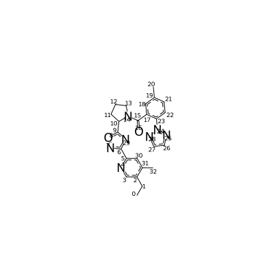 CCc1cnc(-c2noc(C3CCCN3C(=O)c3cc(C)ccc3-n3nccn3)n2)cc1C